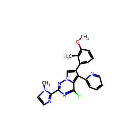 COc1cccc(-c2cn3nc(-c4nccn4C)nc(Cl)c3c2-c2ccccn2)c1C